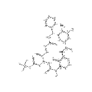 CC(C(=O)NN(CC(=O)OC(C)(C)C)C(=O)/C=C/C(=O)NCc1ccccc1)n1cccc(NC(=O)c2ccc(N)c(Cl)c2)c1=O